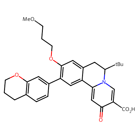 COCCCOc1cc2c(cc1-c1ccc3c(c1)OCCC3)-c1cc(=O)c(C(=O)O)cn1C(C(C)(C)C)C2